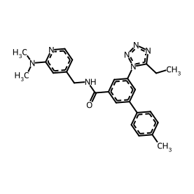 CCc1nnnn1-c1cc(C(=O)NCc2ccnc(N(C)C)c2)cc(-c2ccc(C)cc2)c1